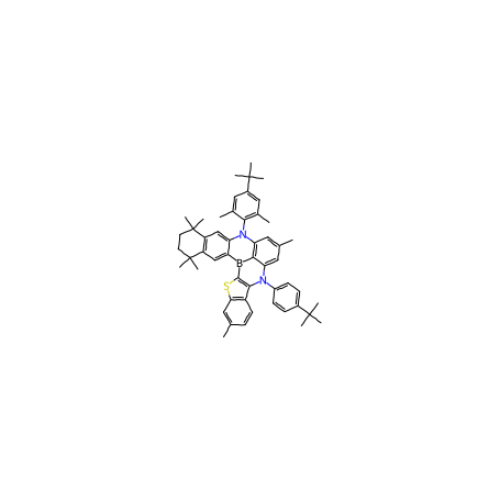 Cc1cc2c3c(c1)N(c1ccc(C(C)(C)C)cc1)c1c(sc4cc(C)ccc14)B3c1cc3c(cc1N2c1c(C)cc(C(C)(C)C)cc1C)C(C)(C)CCC3(C)C